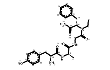 CCN(C(=O)CNC(=O)[C@@H](C)NC(=O)[C@@H](N)Cc1ccc(O)cc1)[C@@H](Cc1ccccc1)C(N)=O